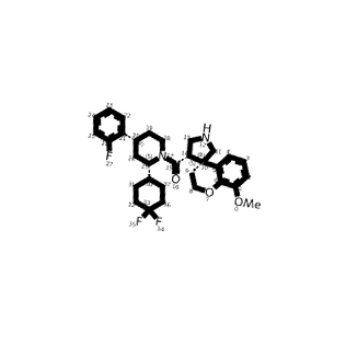 COc1cccc2c1OCC[C@]21CNC[C@H]1C(=O)N1CC[C@@H](c2ccccc2F)C[C@H]1C1CCC(F)(F)CC1